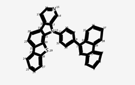 c1ccc2c(c1)cc(-c1ccc(-n3c4cnccc4c4ccc5c6ccccc6sc5c43)cc1)c1ccccc12